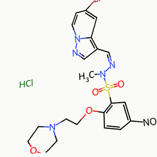 CN(/N=C\c1cnn2ccc(Br)cc12)S(=O)(=O)c1cc([N+](=O)[O-])ccc1OCCN1CCOCC1.Cl